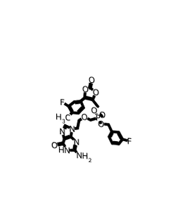 Cc1ccc(-c2oc(=O)oc2COP(=O)(COCCn2cnc3c(=O)[nH]c(N)nc32)OCc2cccc(F)c2)cc1F